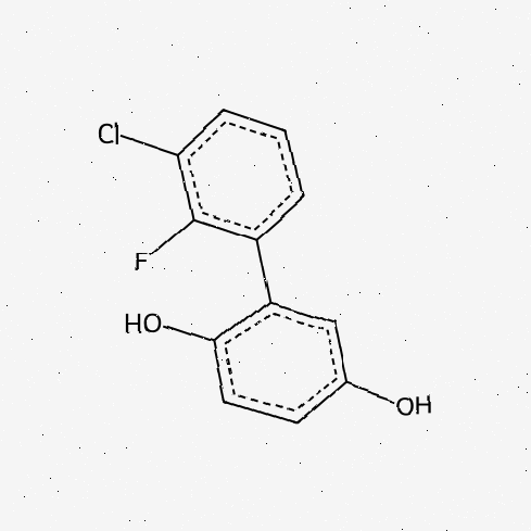 Oc1ccc(O)c(-c2cccc(Cl)c2F)c1